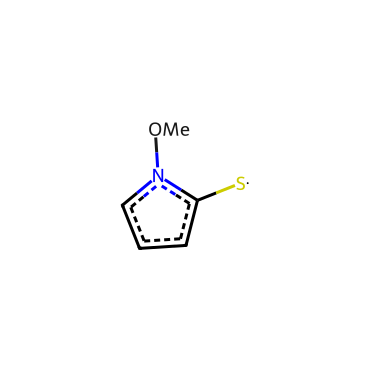 COn1cccc1[S]